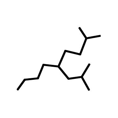 CCCCC(CCC(C)C)CC(C)C